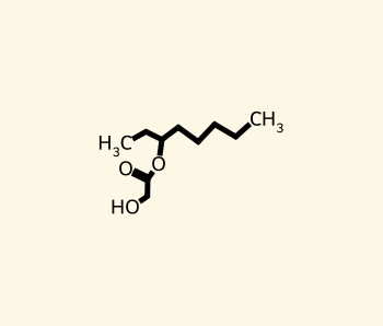 CCCCCC(CC)OC(=O)CO